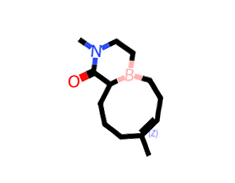 C/C1=C/CCB2CCN(C)C(=O)C2CCC1